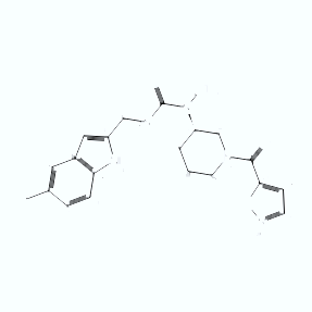 CN(C(=O)NCc1cc2cc(Cl)ccc2[nH]1)[C@@H]1CCCN(C(=O)c2ccno2)C1